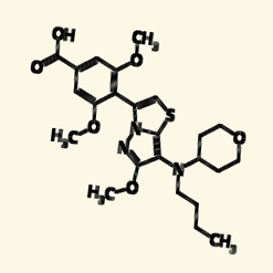 CCCCN(c1c(OC)nn2c(-c3c(OC)cc(C(=O)O)cc3OC)csc12)C1CCOCC1